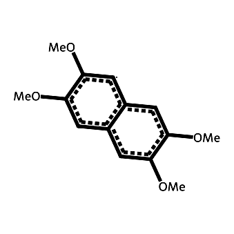 COc1[c]c2cc(OC)c(OC)cc2cc1OC